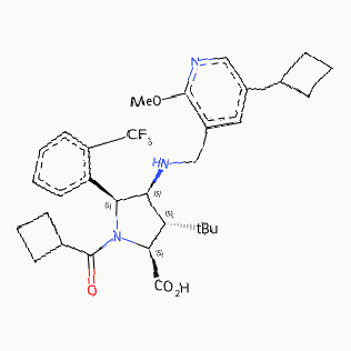 COc1ncc(C2CCC2)cc1CN[C@H]1[C@H](C(C)(C)C)[C@@H](C(=O)O)N(C(=O)C2CCC2)[C@H]1c1ccccc1C(F)(F)F